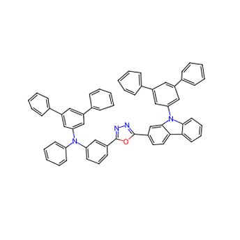 c1ccc(-c2cc(-c3ccccc3)cc(N(c3ccccc3)c3cccc(-c4nnc(-c5ccc6c7ccccc7n(-c7cc(-c8ccccc8)cc(-c8ccccc8)c7)c6c5)o4)c3)c2)cc1